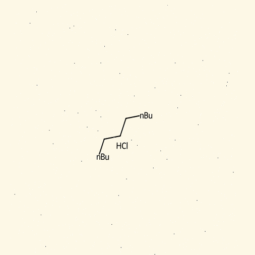 CCCCCCCCCCC.Cl